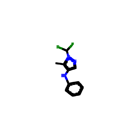 Cc1c(Nc2ccccc2)cnn1C(F)F